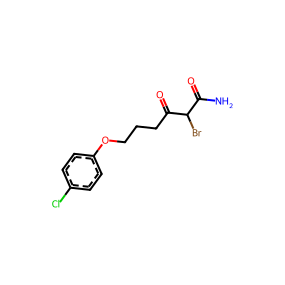 NC(=O)C(Br)C(=O)CCCOc1ccc(Cl)cc1